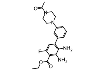 CCOC(=O)c1c(F)cc(-c2cccc(N3CCN(C(C)=O)CC3)c2)c(N)c1N